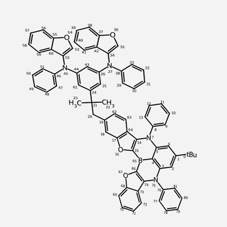 CC(C)(C)c1cc2c3c(c1)N(c1ccccc1)c1c(oc4cc(CC(C)(C)c5cc(N(c6ccccc6)c6coc7ccccc67)cc(N(c6ccccc6)c6coc7ccccc67)c5)ccc14)B3c1oc3ccccc3c1N2c1ccccc1